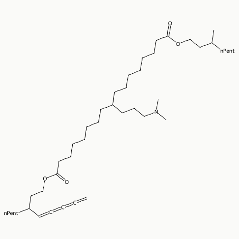 C=C=C=C=CC(CCCCC)CCOC(=O)CCCCCCCC(CCCCCCCC(=O)OCCC(C)CCCCC)CCCN(C)C